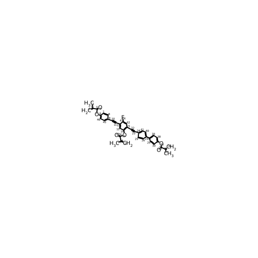 C=C(C)C(=O)Oc1ccc(C#Cc2cc(OC(=O)C(=C)C)c(C#Cc3ccc(-c4ccc(OC(=O)C(=C)C)cc4)cc3)cc2F)cc1